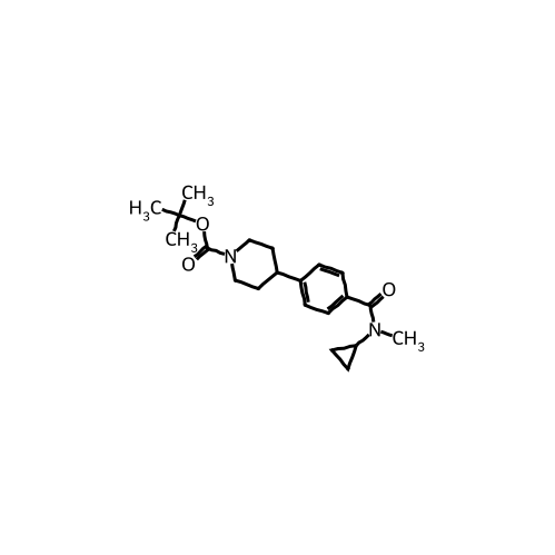 CN(C(=O)c1ccc(C2CCN(C(=O)OC(C)(C)C)CC2)cc1)C1CC1